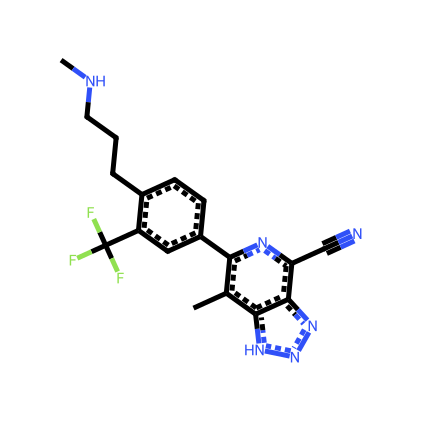 CNCCCc1ccc(-c2nc(C#N)c3nn[nH]c3c2C)cc1C(F)(F)F